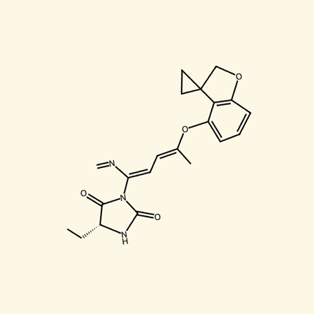 C=N/C(=C\C=C(/C)Oc1cccc2c1C1(CC1)CO2)N1C(=O)N[C@H](CC)C1=O